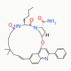 CCCC[C@@H]1NC(=O)CCCC(C)(C)C/C=C/c2ccc3nc(-c4ccccc4)cc(c3c2)O[C@@H]2C[C@@H](C(N)=O)N(C2)C1=O